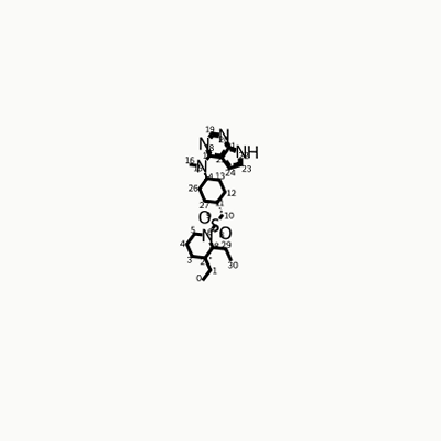 CC[C]1CCCN(S(=O)(=O)C[C@H]2CC[C@H](N(C)c3ncnc4[nH]ccc34)CC2)C1CC